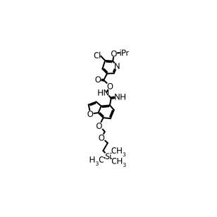 CC(C)Oc1ncc(C(=O)ONC(=N)c2ccc(OCOCC[Si](C)(C)C)c3occc23)cc1Cl